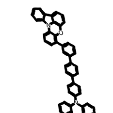 c1ccc(N(c2ccccc2)c2ccc(-c3ccc(-c4cccc(-c5cccc6c5Oc5cccc7c8ccccc8n-6c57)c4)cc3)cc2)cc1